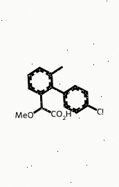 COC(C(=O)O)c1cccc(C)c1-c1ccc(Cl)cc1